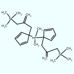 C=C(C[C]1([Hf]([CH3])([CH3])[C]2(CC(=C)C[Si](C)(C)C)C=CC=C2)C=CC=C1)C[Si](C)(C)C